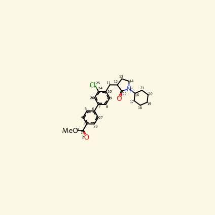 COC(=O)c1ccc(-c2ccc(CC3CCN(C4CCCCC4)C3=O)c(Cl)c2)cc1